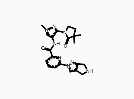 Cn1cc(NC(=O)c2cccc(-n3cc4c(n3)CNC4)n2)c(N2CCC(C)(C)C2=O)n1